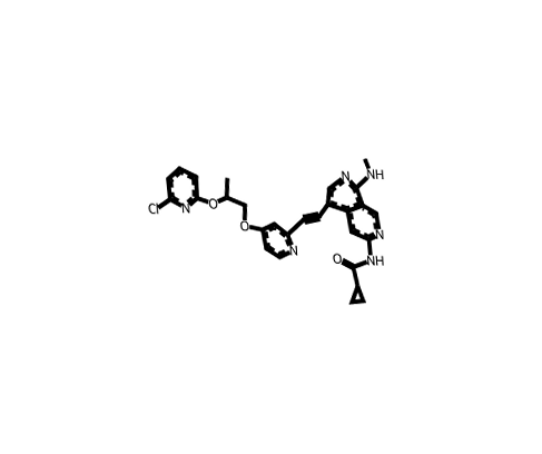 CNc1ncc(C#Cc2cc(OCC(C)Oc3cccc(Cl)n3)ccn2)c2cc(NC(=O)C3CC3)ncc12